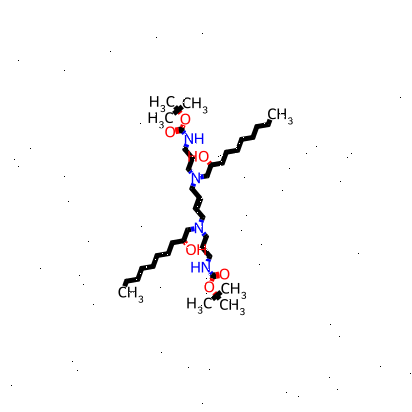 CCCCCCCCC(O)CN(C/C=C/CN(CCCNC(=O)OC(C)(C)C)CC(O)CCCCCCCC)CCCNC(=O)OC(C)(C)C